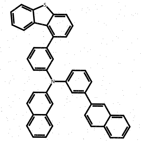 c1cc(-c2ccc3ccccc3c2)cc(N(c2cccc(-c3cccc4sc5ccccc5c34)c2)c2ccc3ccccc3c2)c1